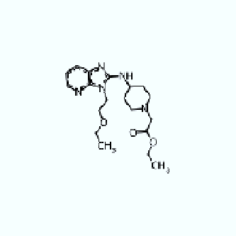 CCOCCn1c(NC2CCN(CC(=O)OCC)CC2)nc2cccnc21